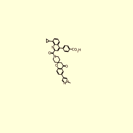 Cn1cc(-c2ccc3c(c2)C(=O)CC2(CCN(C(=O)c4cc(-c5ccc(C(=O)O)cc5)c5cccc(C6CC6)c5n4)CC2)O3)cn1